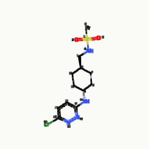 CC(C)S(=O)(=O)NC[C@H]1CC[C@H](Nc2ccc(Cl)nn2)CC1